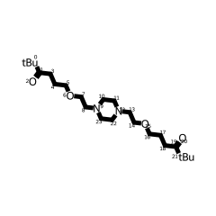 CC(C)(C)C(=O)CCCOCCN1CCN(CCOCCCC(=O)C(C)(C)C)CC1